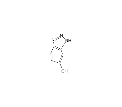 Oc1ccc2nn[nH]c2c1